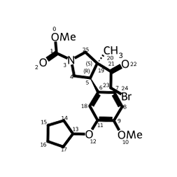 COC(=O)N1C[C@H](c2ccc(OC)c(OC3CCCC3)c2)[C@](C)(C(=O)CBr)C1